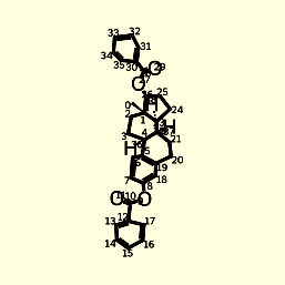 C[C@]12CC[C@@H]3c4ccc(OC(=O)c5ccccc5)cc4CC[C@H]3[C@@H]1CC[C@@H]2OC(=O)c1ccccc1